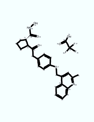 Cc1cc(COc2ccc(CC(=O)C3CCC[C@@H]3C(=O)NO)cc2)c2ccccc2n1.O=C(O)C(F)(F)F